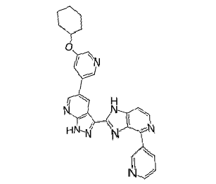 c1cncc(-c2nccc3[nH]c(-c4n[nH]c5ncc(-c6cncc(OC7CCCCC7)c6)cc45)nc23)c1